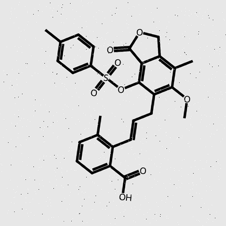 COc1c(C)c2c(c(OS(=O)(=O)c3ccc(C)cc3)c1CC=Cc1c(C)cccc1C(=O)O)C(=O)OC2